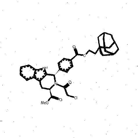 COC(=O)[C@H]1Cc2c([nH]c3ccccc23)[C@H](c2ccc(C(=O)OCCC34CC5CC(CC(C5)C3)C4)cc2)N1C(=O)CCl